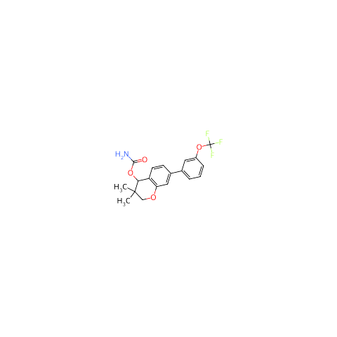 CC1(C)COc2cc(-c3cccc(OC(F)(F)F)c3)ccc2C1OC(N)=O